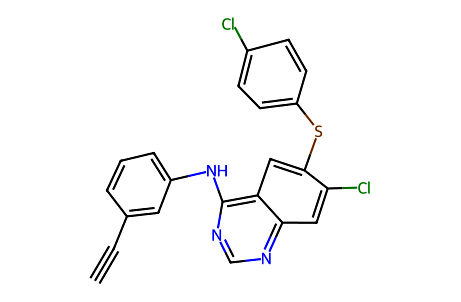 C#Cc1cccc(Nc2ncnc3cc(Cl)c(Sc4ccc(Cl)cc4)cc23)c1